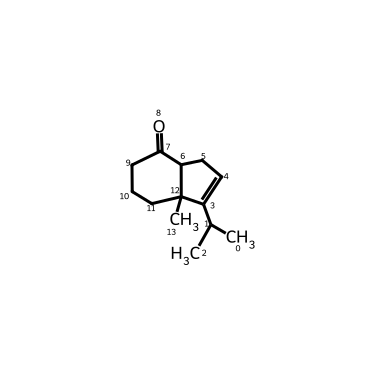 CC(C)C1=CCC2C(=O)CCCC12C